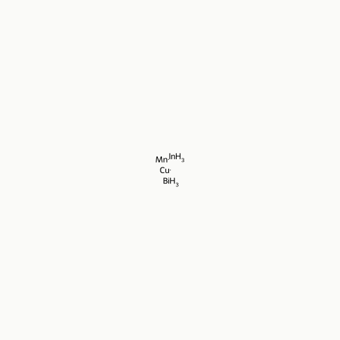 [BiH3].[Cu].[InH3].[Mn]